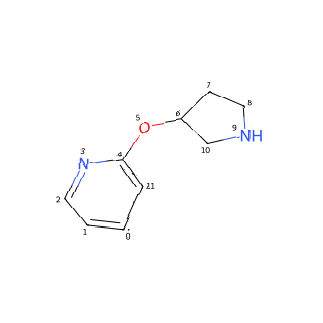 [c]1ccnc(OC2CCNC2)c1